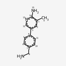 Cc1cc(-c2ccc(CN)cc2)cnc1N